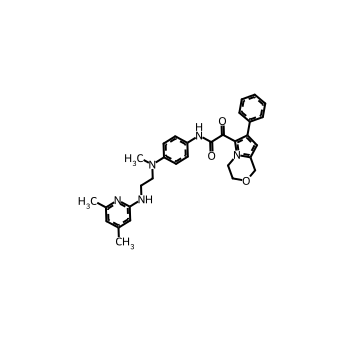 Cc1cc(C)nc(NCCN(C)c2ccc(NC(=O)C(=O)c3c(-c4ccccc4)cc4n3CCOC4)cc2)c1